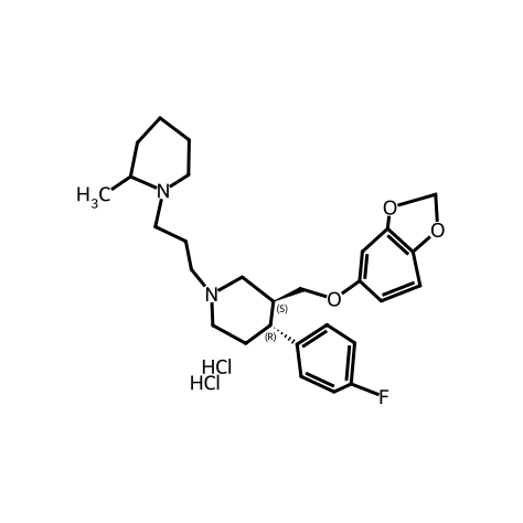 CC1CCCCN1CCCN1CC[C@@H](c2ccc(F)cc2)[C@H](COc2ccc3c(c2)OCO3)C1.Cl.Cl